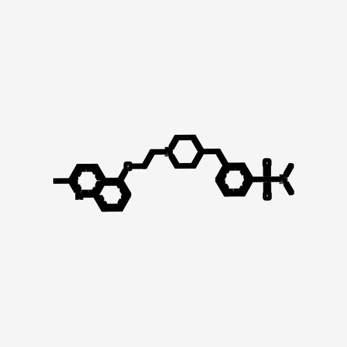 Cc1ccc2c(OCCN3CCC(Cc4cccc(S(=O)(=O)N(C)C)c4)CC3)cccc2n1